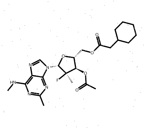 CNc1nc(C)nc2c1ncn2[C@@H]1O[C@H](COC(=O)CC2CCCCC2)[C@@H](OC(C)=O)[C@@]1(C)F